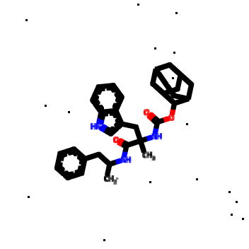 [CH2]C(Cc1ccccc1)NC(=O)C(C)(Cc1c[nH]c2ccccc12)NC(=O)OC1C2CC3CC(C2)CC1C3